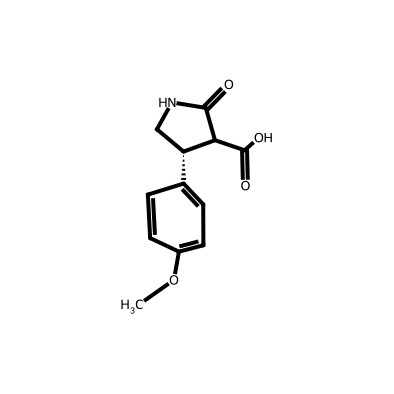 COc1ccc([C@@H]2CNC(=O)C2C(=O)O)cc1